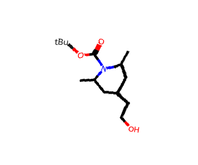 CC1CC(CCO)CC(C)N1C(=O)OC(C)(C)C